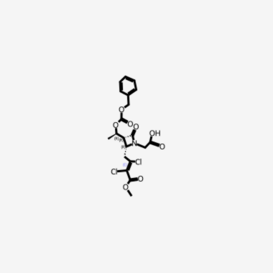 COC(=O)/C(Cl)=C(\Cl)C[C@@H]1[C@H]([C@@H](C)OC(=O)OCc2ccccc2)C(=O)N1CC(=O)O